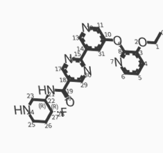 CCOc1cccnc1Oc1cncc(-c2ncc(C(=O)N[C@@H]3CNCC[C@H]3F)cn2)c1